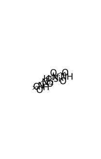 CC(C)(C)OC(=O)N1CCN2c3ccc4c(c3OC[C@H]2C1)CN([C@H]1CCC(=O)NC(=O)[SiH2]1)C4=O